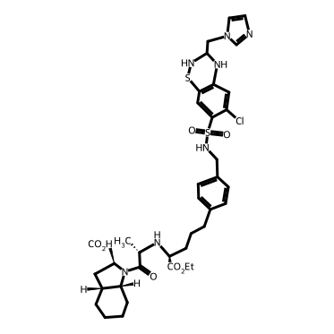 CCOC(=O)[C@H](CCCc1ccc(CNS(=O)(=O)c2cc3c(cc2Cl)NC(Cn2ccnc2)NS3)cc1)N[C@@H](C)C(=O)N1[C@@H]2CCCC[C@@H]2C[C@H]1C(=O)O